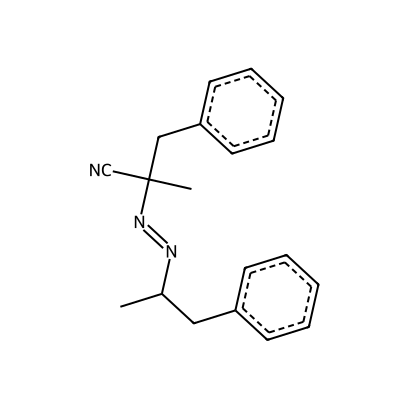 CC(Cc1ccccc1)/N=N/C(C)(C#N)Cc1ccccc1